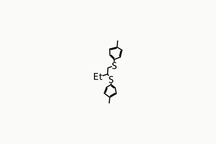 CCC(CSc1ccc(C)cc1)Sc1ccc(C)cc1